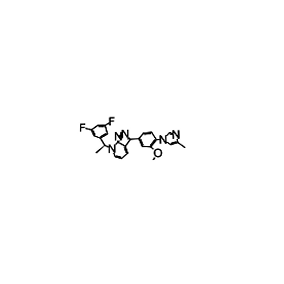 COc1cc(-c2nnc3n([C@@H](C)c4cc(F)cc(F)c4)cccc2-3)ccc1-n1cnc(C)c1